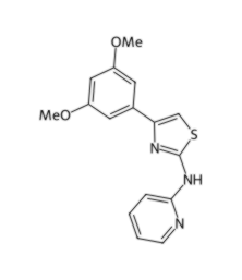 COc1cc(OC)cc(-c2csc(Nc3ccccn3)n2)c1